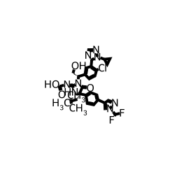 CC(C)(C)C[C@]1(c2ccc(-c3cnn(C(F)F)c3)cc2)N/C(=N\C(=O)O)N([C@H](CO)c2ccc(Cl)c(-c3ncnn3C3CC3)c2)C1=O